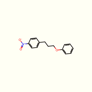 O=[N+]([O-])c1ccc(CCCOc2ccccc2)cc1